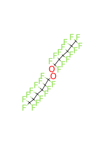 FC(F)(F)C(F)(F)C(F)(F)C(F)(F)C(F)(F)C(F)(F)OOC(F)(F)C(F)(F)C(F)(F)C(F)(F)C(F)(F)C(F)(F)F